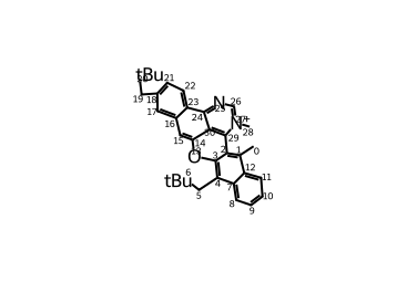 Cc1c2c(c(CC(C)(C)C)c3ccccc13)Oc1cc3cc(CC(C)(C)C)ccc3c3nc[n+](C)c-2c13